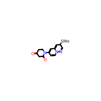 CSC1C=NN2C=CC(N3CCC(=O)CC3=O)=CC2=C1